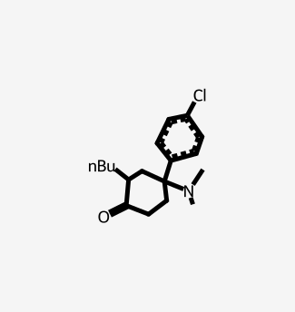 CCCCC1CC(c2ccc(Cl)cc2)(N(C)C)CCC1=O